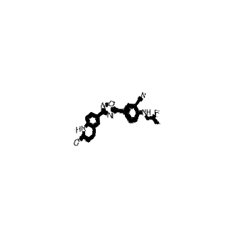 CC(F)CNc1ccc(-c2nc(-c3ccc4c(c3)CCC(=O)N4)no2)cc1C#N